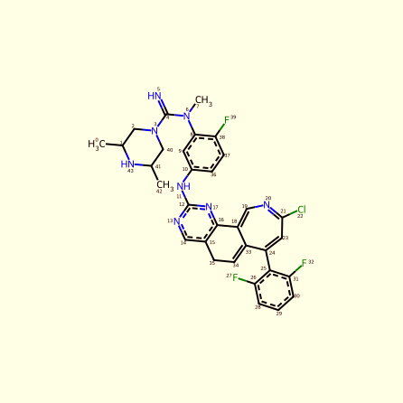 CC1CN(C(=N)N(C)c2cc(Nc3ncc4c(n3)C3=CN=C(Cl)C=C(c5c(F)cccc5F)C3=CC4)ccc2F)CC(C)N1